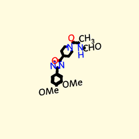 COc1ccc(-c2noc(C3CCN(C(=O)C(C)NC=O)CC3)n2)cc1OC